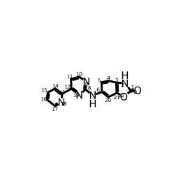 O=c1[nH]c2ccc(Nc3nccc(-c4ccccn4)n3)cc2o1